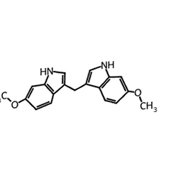 COc1ccc2c(Cc3c[nH]c4cc(OC)ccc34)c[nH]c2c1